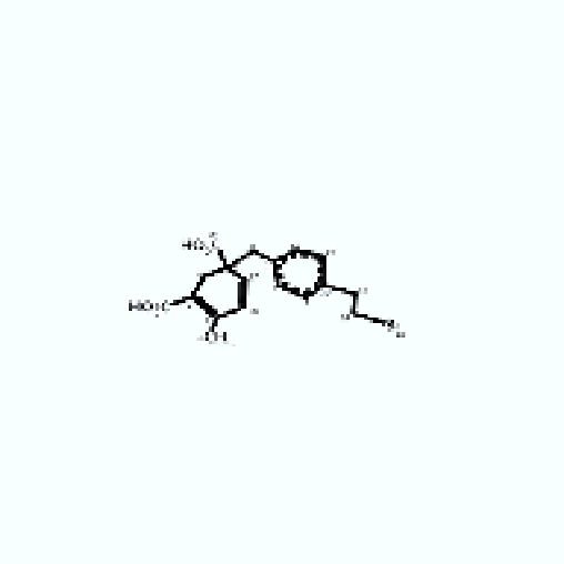 CC1=C(C(=O)O)CC(Cc2ccc(CCBr)cc2)(C(=O)O)C=C1